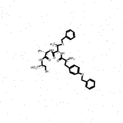 CC(C)C[C@H](NC(=O)[C@@H](NC(=O)[C@@H](NC(=O)[C@@H](N)Cc1ccc(OCc2ccccc2)cc1)[C@@H](C)OCc1ccccc1)C(C)C)C(=O)O